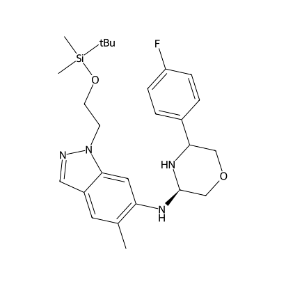 Cc1cc2cnn(CCO[Si](C)(C)C(C)(C)C)c2cc1N[C@@H]1COCC(c2ccc(F)cc2)N1